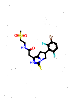 CS(=O)(=O)CCNC(=O)Cc1[nH]c(=S)n2c1CC(c1c(F)ccc(Br)c1F)C2